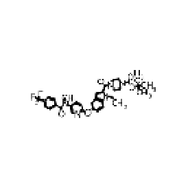 CCn1c(C(=O)N2CCN(C(=O)OC(C)(C)C)CC2)cc2cc(Oc3ccc(N(C)C(=O)c4ccc(C(F)(F)F)cc4)cn3)ccc21